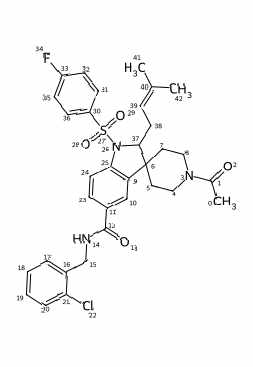 CC(=O)N1CCC2(CC1)c1cc(C(=O)NCc3ccccc3Cl)ccc1N(S(=O)(=O)c1ccc(F)cc1)C2CC=C(C)C